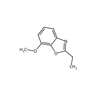 CCc1nc2cccc(OC)c2o1